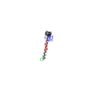 S=C(NCCOCCOCCCCCCCl)NC12CC3CC(CC(C3)C1)C2